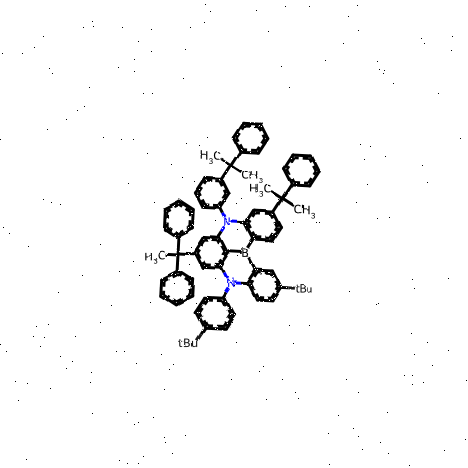 CC(C)(C)c1ccc(N2c3ccc(C(C)(C)C)cc3B3c4ccc(C(C)(C)c5ccccc5)cc4N(c4cccc(C(C)(C)c5ccccc5)c4)c4cc(C(C)(c5ccccc5)c5ccccc5)cc2c43)cc1